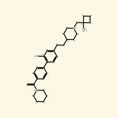 C=C(c1ccc(-c2ccc(CCC3CCN(CC4(C(F)(F)F)CCC4)CC3)cc2F)cc1)N1CCCCC1